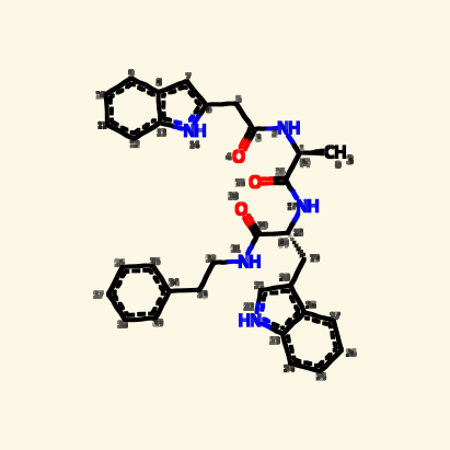 C[C@H](NC(=O)Cc1cc2ccccc2[nH]1)C(=O)N[C@H](Cc1c[nH]c2ccccc12)C(=O)NCCc1ccccc1